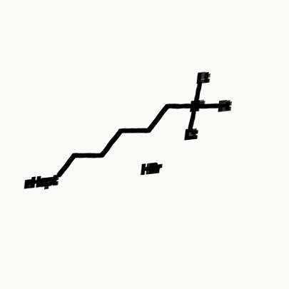 Br.CCCCCCCCCCCC[N+](CC)(CC)CC